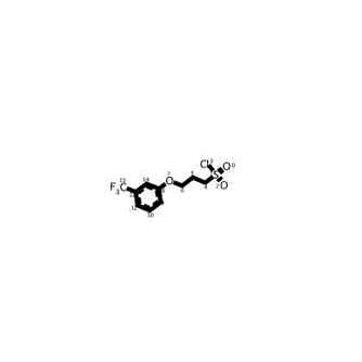 O=S(=O)(Cl)CCCOc1cccc(C(F)(F)F)c1